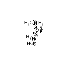 Cc1cc(COc2cc(-c3nc(Cn4cc(C(=O)O)cn4)c(C)s3)cc(C(F)(F)F)c2)n(C)n1